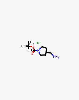 CC(C)(C)OC(=O)N1CCC(CN)CC1.Cl